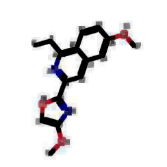 CCc1nc(-c2nc(OC)co2)cc2cc(OC)ccc12